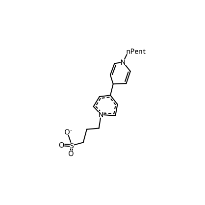 CCCCCN1C=CC(c2cc[n+](CCCS(=O)(=O)[O-])cc2)C=C1